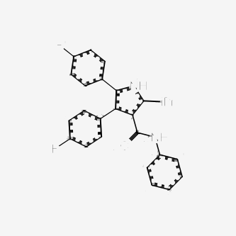 CC(C)c1[nH]c(-c2ccc(F)cc2)c(-c2ccc(F)cc2)c1C(=O)Nc1ccccc1